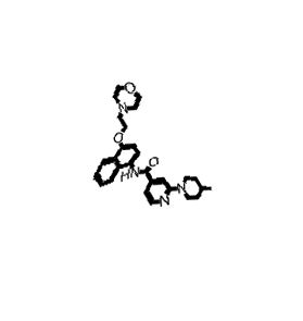 CC1CCN(c2cc(C(=O)Nc3ccc(OCCN4CCOCC4)c4ccccc34)ccn2)CC1